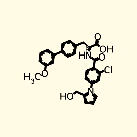 COc1cccc(-c2ccc(C[C@H](NC(=O)c3ccc(-n4cccc4CO)cc3Cl)C(=O)O)cc2)c1